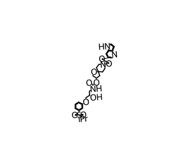 CC(C)S(=O)(=O)c1cccc(OCC(O)CNC(=O)O[C@H]2COC3(CCN(S(=O)(=O)c4cnc5cc[nH]c5c4)CC3)C2)c1